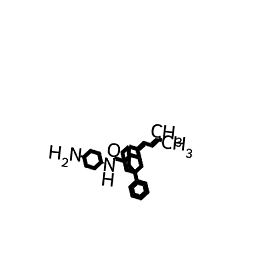 CC(C)=CC=C1C2CC3(C(=O)N[C@H]4CC[C@H](N)CC4)CC1CC(c1ccccc1)(C2)C3